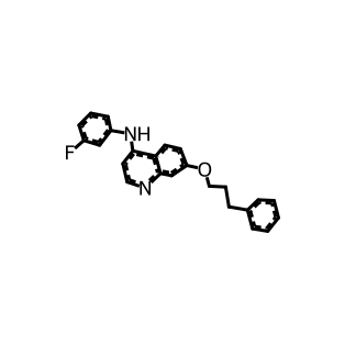 Fc1cccc(Nc2ccnc3cc(OCCCc4ccccc4)ccc23)c1